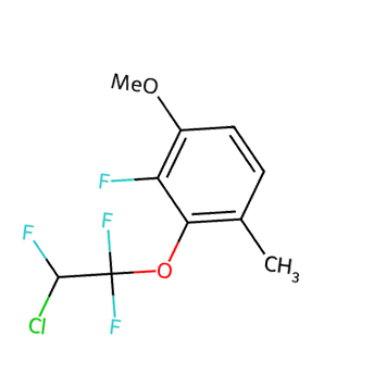 COc1ccc(C)c(OC(F)(F)C(F)Cl)c1F